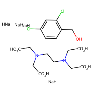 O=C(O)CN(CCN(CC(=O)O)CC(=O)O)CC(=O)O.OCc1ccc(Cl)cc1Cl.[NaH].[NaH].[NaH].[NaH]